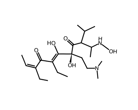 C/C=C(/CC)C(=O)/C(CC)=C(\O)[C@@](O)(CCN(C)C)C(=O)C(C(C)C)C(C)NO